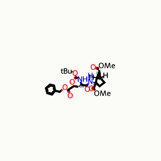 COC(=O)[C@H]1[C@@H]2CC[C@@](NC(=O)[C@H](CCC(=O)OCc3ccccc3)NC(=O)OC(C)(C)C)(C(=O)OC)[C@@H]21